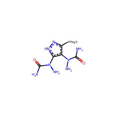 CCCCCCCc1n[nH]c(N(N)C(N)=O)c1N(N)C(N)=O